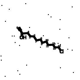 C#CC(O)CCCCCCCCCCCCl